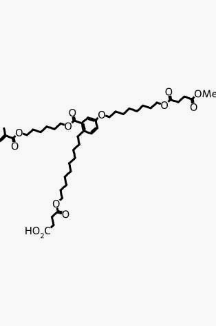 C=C(C)C(=O)OCCCCCCOC(=O)c1cc(OCCCCCCCCOC(=O)CCC(=O)OC)ccc1CCCCCCCCCCOC(=O)CCC(=O)O